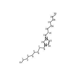 CCCCCCCCCN1C=CN(CCCCCCCC)C1